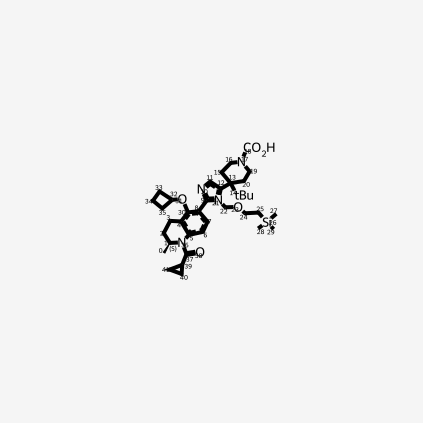 C[C@H]1CCc2c(ccc(-c3ncc(C4(C(C)(C)C)CCN(C(=O)O)CC4)n3COCC[Si](C)(C)C)c2OC2CCC2)N1C(=O)C1CC1